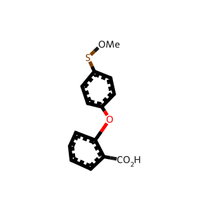 COSc1ccc(Oc2ccccc2C(=O)O)cc1